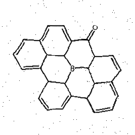 O=C1C2=CC=C3C=CC=C4C5C=CC=C6C7C=CC=C8C=CC1C(B(C65)C2C34)C87